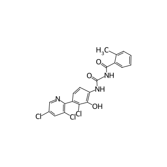 Cc1ccccc1C(=O)NC(=O)Nc1ccc(-c2ncc(Cl)cc2Cl)c(Cl)c1O